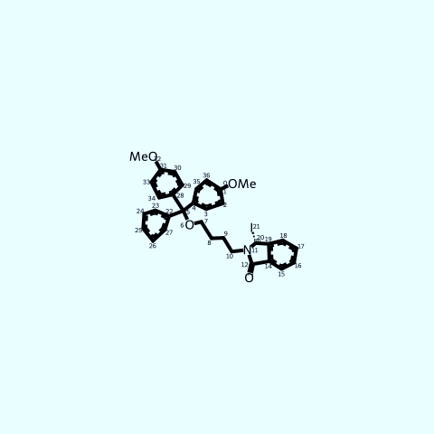 COc1ccc(C(OCCCCN2C(=O)c3ccccc3[C@H]2I)(c2ccccc2)c2ccc(OC)cc2)cc1